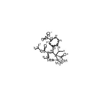 CCC1(C(=O)O)C(N)NC(C)=C(C(=O)OC(C)C)C1c1cccc([N+](=O)[O-])c1